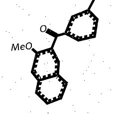 COc1cc2ccccc2cc1C(=O)c1cccc(C)c1